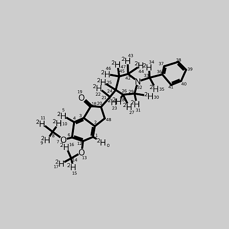 [2H]c1c2c(c([2H])c(OC([2H])([2H])[2H])c1OC([2H])([2H])[2H])C(=O)C(C([2H])([2H])C1([2H])C([2H])([2H])C([2H])([2H])N(C([2H])([2H])c3ccccc3)C([2H])([2H])C1([2H])[2H])C2